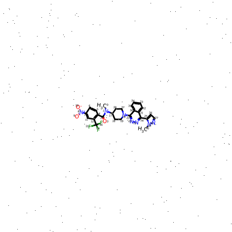 CN(C(=O)c1ccc([N+](=O)[O-])cc1C(F)(F)F)C1CCN(c2nnc(-c3ccnn3C)c3ccccc23)CC1